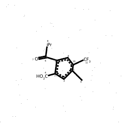 Cc1cc(C(=O)O)c(C(=O)C(C)C)cc1C(F)(F)F